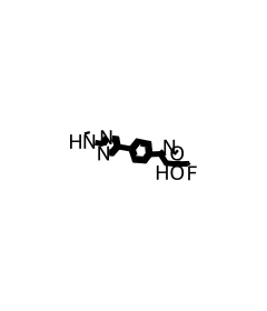 CNc1ncc(-c2ccc(C3=NOC(O)(CF)C3)cc2)cn1